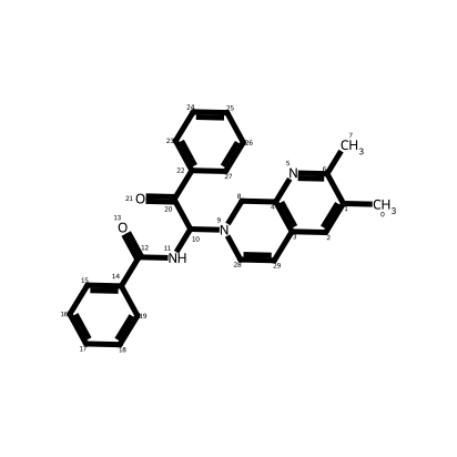 Cc1cc2c(nc1C)CN(C(NC(=O)c1ccccc1)C(=O)c1ccccc1)C=C2